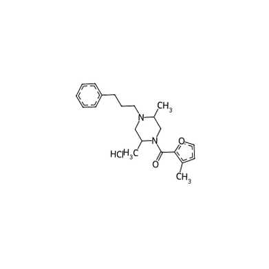 Cc1ccoc1C(=O)N1CC(C)N(CCCc2ccccc2)CC1C.Cl